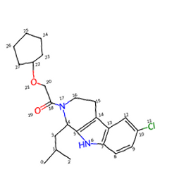 CC(C)CC1c2[nH]c3ccc(Cl)cc3c2CCN1C(=O)COC1CCCCC1